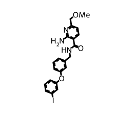 COCc1ccc(C(=O)NCc2cccc(Oc3cccc(I)c3)c2)c(N)n1